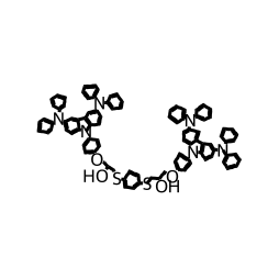 OC(COc1ccc(-n2c3ccc(N(c4ccccc4)c4ccccc4)cc3c3cc(N(c4ccccc4)c4ccccc4)ccc32)cc1)CSc1ccc(SCC(O)COc2ccc(-n3c4ccc(N(c5ccccc5)c5ccccc5)cc4c4cc(N(c5ccccc5)c5ccccc5)ccc43)cc2)cc1